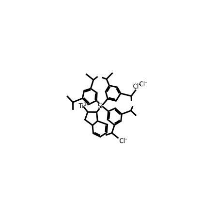 CC(C)c1cc(C(C)C)cc([Si](c2cc(C(C)C)cc(C(C)C)c2)(c2cc(C(C)C)cc(C(C)C)c2)C2[CH]([Ti+3])CC3C=CC=CC32)c1.[Cl-].[Cl-].[Cl-]